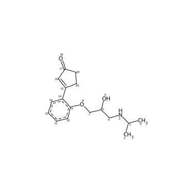 CC(C)NCC(O)COc1ccccc1C1=CC(=O)CC1